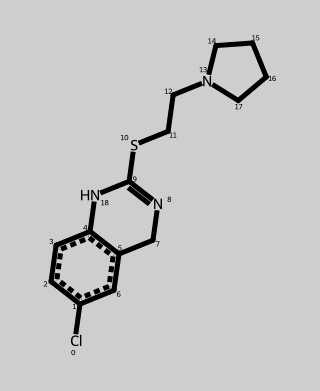 Clc1ccc2c(c1)CN=C(SCCN1CCCC1)N2